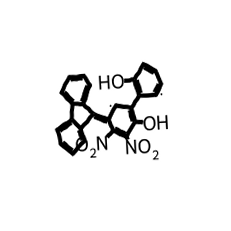 O=[N+]([O-])C1=C([N+](=O)[O-])C(=C2c3ccccc3-c3ccccc32)[CH]C(c2[c]cccc2O)=C1O